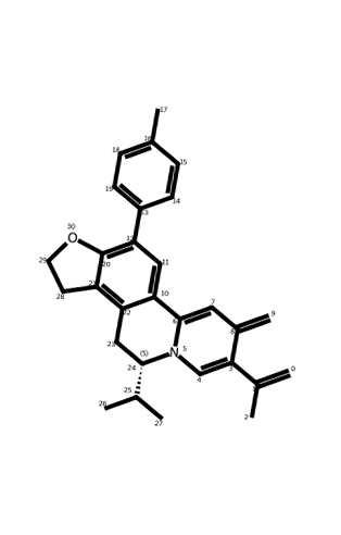 C=C(C)C1=CN2C(=CC1=C)c1cc(-c3ccc(C)cc3)c3c(c1C[C@H]2C(C)C)CCO3